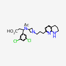 CC(=O)N(C1CN(CCCc2ccc3c(n2)NCCC3)C1)C(CC(=O)O)c1cc(Cl)cc(Cl)c1